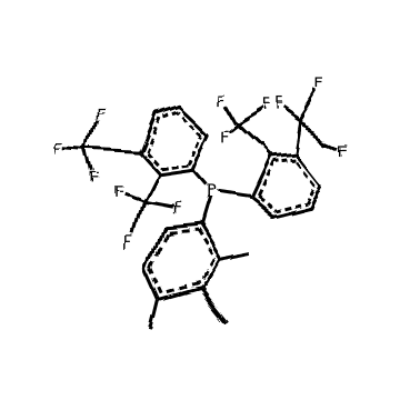 Cc1ccc(P(c2cccc(C(F)(F)F)c2C(F)(F)F)c2cccc(C(F)(F)F)c2C(F)(F)F)c(C)c1C